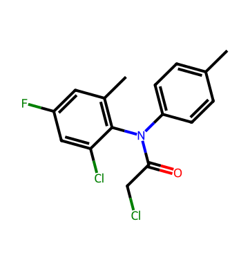 Cc1ccc(N(C(=O)CCl)c2c(C)cc(F)cc2Cl)cc1